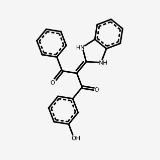 O=C(C(C(=O)c1cccc(O)c1)=C1Nc2ccccc2N1)c1ccccc1